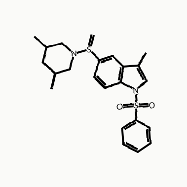 C=S(c1ccc2c(c1)c(C)cn2S(=O)(=O)c1ccccc1)N1CC(C)CC(C)C1